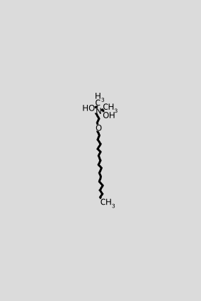 CCCCCCCCCCCCCCCCCCOCCCN(C(C)O)C(C)O